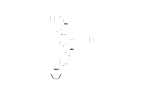 CN1CC2(CC(C(=O)O)C1C(=O)N1CCN(c3ccccc3)CC1)CC2C(N)=O